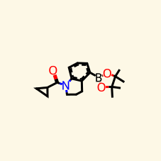 CC1(C)OB(c2cccc3c2CCCN3C(=O)C2CC2)OC1(C)C